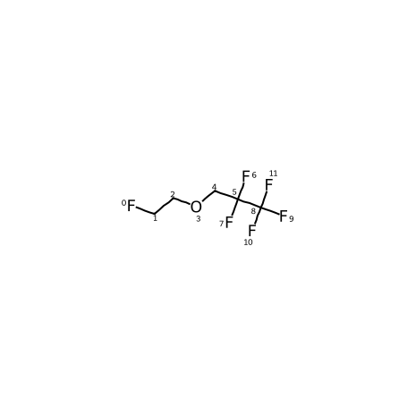 FCCOCC(F)(F)C(F)(F)F